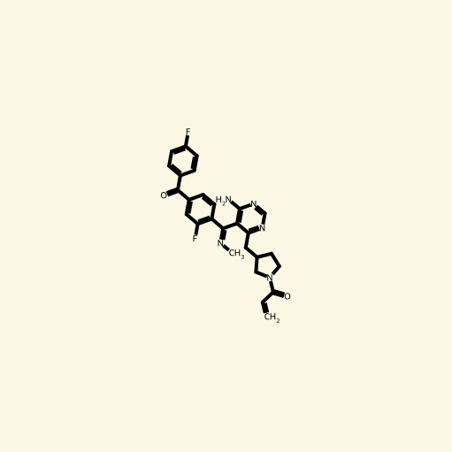 C=CC(=O)N1CCC(Cc2ncnc(N)c2/C(=N\C)c2ccc(C(=O)c3ccc(F)cc3)cc2F)C1